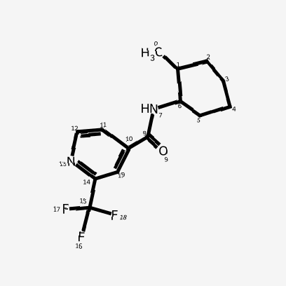 CC1CCCCC1NC(=O)c1ccnc(C(F)(F)F)c1